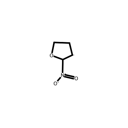 O=[N+]([O-])C1[CH]CCO1